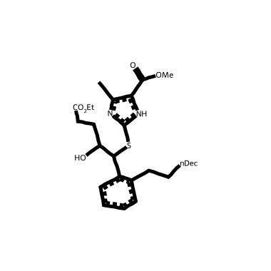 CCCCCCCCCCCCc1ccccc1C(Sc1nc(C)c(C(=O)OC)[nH]1)C(O)CCC(=O)OCC